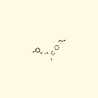 CCO[C@@H]1CN(C2CCC(n3ccc(C(F)(F)F)n3)CC2)C[C@@H]1NC(=O)CNC(=O)c1cccc(C(F)(F)F)c1